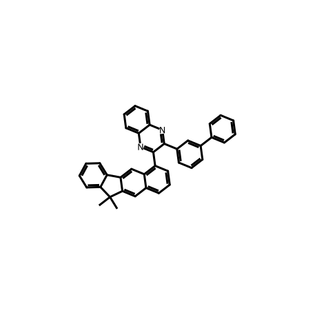 CC1(C)c2ccccc2-c2cc3c(-c4nc5ccccc5nc4-c4cccc(-c5ccccc5)c4)cccc3cc21